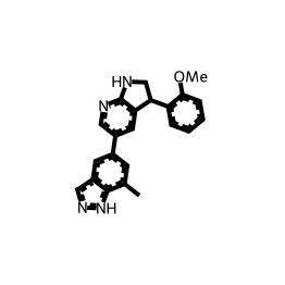 COc1ccccc1C1CNc2ncc(-c3cc(C)c4[nH]ncc4c3)cc21